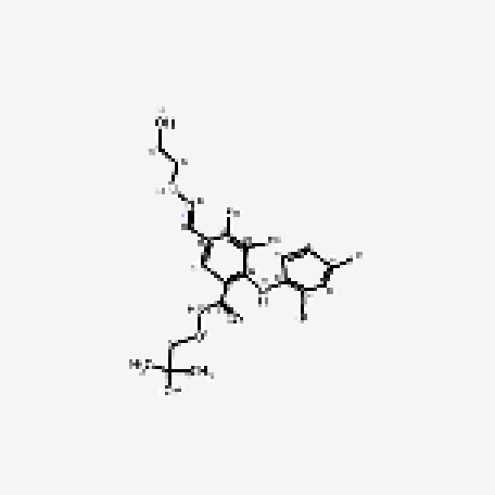 CC(C)(O)CONC(=O)c1cc(/C=N/OCCO)c(F)c(F)c1Nc1ccc(I)cc1F